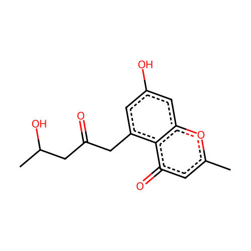 Cc1cc(=O)c2c(CC(=O)CC(C)O)cc(O)cc2o1